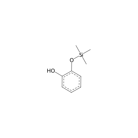 C[Si](C)(C)Oc1ccccc1O